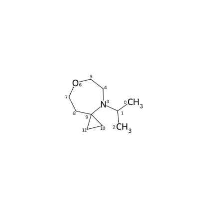 CC(C)N1CCOCCC12CC2